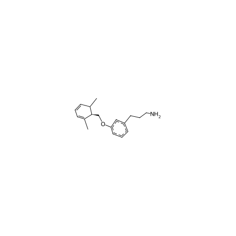 CC1=CC=CC(C)[C@H]1COc1cccc(CCCN)c1